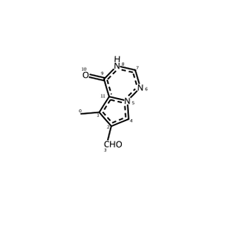 Cc1c(C=O)cn2nc[nH]c(=O)c12